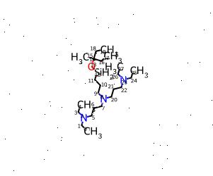 CCN(CC)CCCN(CCC[SiH2]OC(C)(CC)CC)CCCN(CC)CC